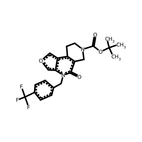 CC(C)(C)OC(=O)N1CCc2c(c(=O)n(Cc3ccc(C(F)(F)F)cc3)c3cocc23)C1